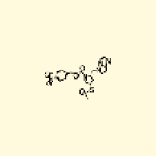 CC(=O)S[C@H]1C[C@@H](CN2CCc3nccn32)N(C(=O)OCc2ccc([N+](=O)[O-])cc2)C1